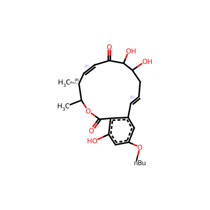 CCCCOc1cc(O)c2c(c1)/C=C/CC(O)C(O)C(=O)/C=C\[C@@H](C)C(C)OC2=O